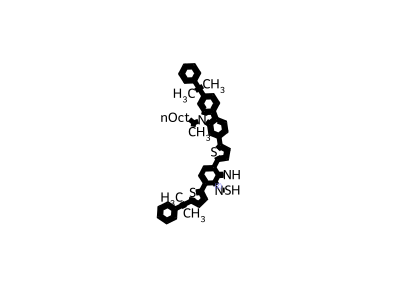 CCCCCCCCC(C)n1c2cc(-c3ccc(C4=CC=C(c5ccc(C(C)(C)c6ccccc6)s5)/C(=N/S)C4=N)s3)ccc2c2ccc(C(C)(C)c3ccccc3)cc21